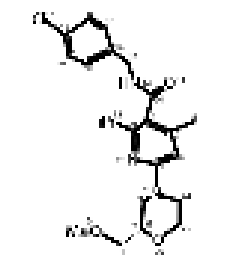 COC[C@@H]1CN(c2cc(C)c(C(=O)NCc3ccc(Cl)cc3)c(C(C)C)n2)CCO1